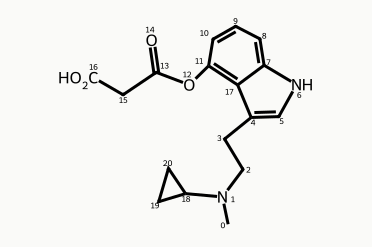 CN(CCc1c[nH]c2cccc(OC(=O)CC(=O)O)c12)C1CC1